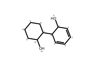 OC1C=CC=CC1C1CCCCC1O